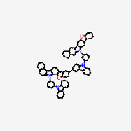 c1cc(-n2c3ccccc3c3cc(-c4ccc5oc6c(ccc7c8c9ccccc9ccc8n(-c8cccc(-n9c%10ccccc%10c%10ccccc%109)c8)c76)c5c4)ccc32)cc(-n2c3cc4ccccc4cc3c3cc4oc5ccccc5c4cc32)c1